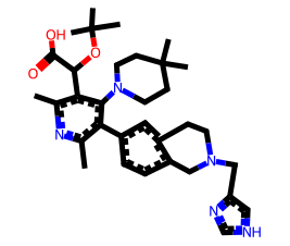 Cc1nc(C)c(C(OC(C)(C)C)C(=O)O)c(N2CCC(C)(C)CC2)c1-c1ccc2c(c1)CCN(Cc1c[nH]cn1)C2